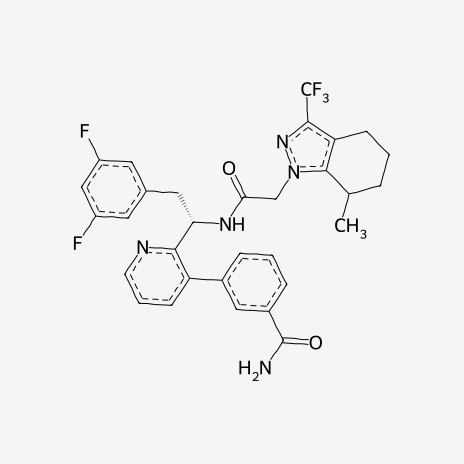 CC1CCCc2c(C(F)(F)F)nn(CC(=O)N[C@@H](Cc3cc(F)cc(F)c3)c3ncccc3-c3cccc(C(N)=O)c3)c21